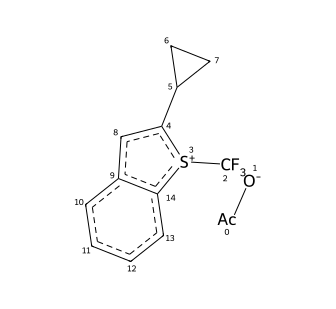 CC(=O)[O-].FC(F)(F)[s+]1c(C2CC2)cc2ccccc21